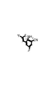 N#Cc1cc(F)cc(C=C(F)F)c1N